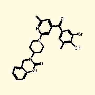 Cc1cc(C(=O)c2cc(C)c(O)c(Br)c2)cc(N2CCC(N3Cc4ccccc4NC3=O)CC2)n1